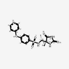 C[C@@H](NS(=O)(=O)c1ccc(Oc2ccncc2)cc1)[C@@]1(C)NC(=O)NC1=O